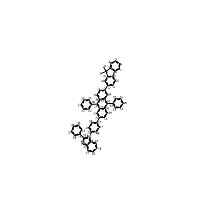 CC1(C)c2ccccc2-c2ccc(-c3ccc4c(-c5ccccc5)c5cc(-c6ccc(-n7c(-c8ccccc8)nc8ccccc87)cc6)ccc5c(-c5ccccc5)c4c3)cc21